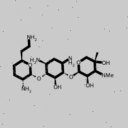 CNC1[C@@H](O)[C@@H](O[C@H]2C(N)C[C@H](N)[C@@H](O[C@H]3O[C@H](CCN)CC[C@H]3N)[C@@H]2O)OC[C@]1(C)O